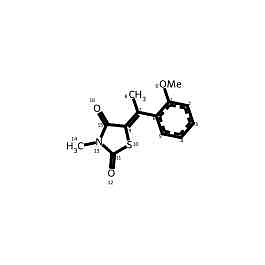 COc1ccccc1/C(C)=C1\SC(=O)N(C)C1=O